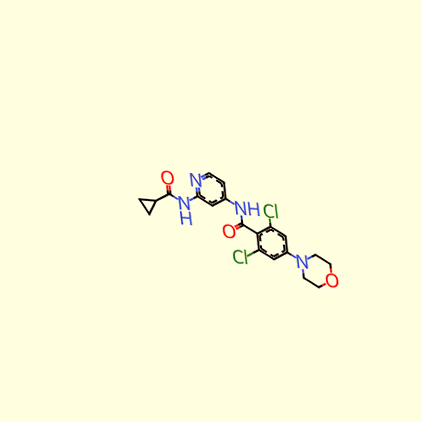 O=C(Nc1ccnc(NC(=O)C2CC2)c1)c1c(Cl)cc(N2CCOCC2)cc1Cl